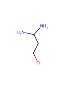 NC(N)CC[O]